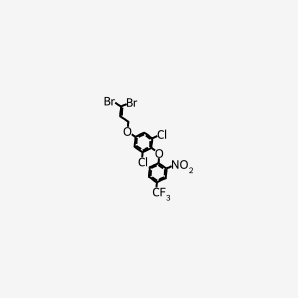 O=[N+]([O-])c1cc(C(F)(F)F)ccc1Oc1c(Cl)cc(OCC=C(Br)Br)cc1Cl